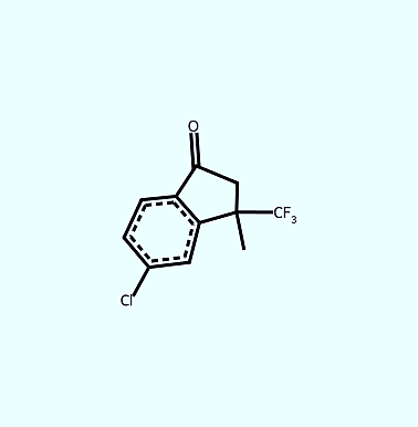 CC1(C(F)(F)F)CC(=O)c2ccc(Cl)cc21